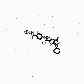 Cc1nn(C2CCCCC2)c2sc(C(=O)Nc3ccc(C(=O)NC(C)(C)C)cc3)cc12